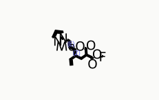 C=C/C(=C\C=C\n1cccn1)CC(C(=O)OC)C(=O)OF